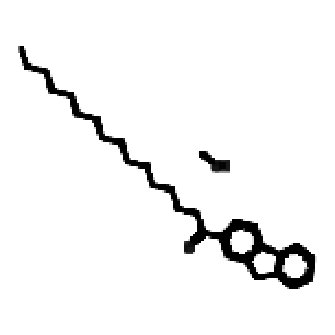 CCCCCCCCCCCCCCCC(=O)c1ccc2c(c1)Cc1ccccc1-2.CO